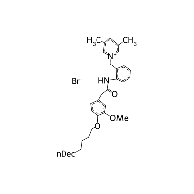 CCCCCCCCCCCCCCOc1ccc(CC(=O)Nc2ccccc2C[n+]2cc(C)cc(C)c2)cc1OC.[Br-]